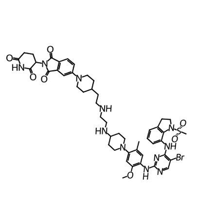 COc1cc(N2CCC(NCCNCCC3CCN(c4ccc5c(c4)C(=O)N(C4CCC(=O)NC4=O)C5=O)CC3)CC2)c(C)cc1Nc1ncc(Br)c(Nc2cccc3c2N(S(C)(=O)=O)CC3)n1